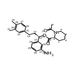 CC(=O)N1CCCC[C@H]1C(=O)O[C@H](CCc1ccc(C)c(C)c1)c1cccc(N)c1